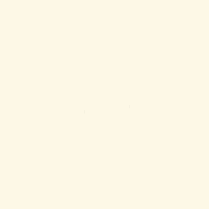 Fc1ccc(-c2ccccc2S)cc1F